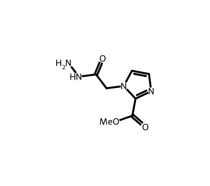 COC(=O)c1nccn1CC(=O)NN